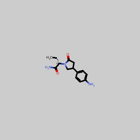 CC[C@@H](C(N)=O)N1CC(c2ccc(N)cc2)CC1=O